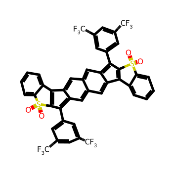 O=S1(=O)C2=C(c3ccccc31)c1cc3cc4c(cc3cc1=C2c1cc(C(F)(F)F)cc(C(F)(F)F)c1)C1=C(C=4c2cc(C(F)(F)F)cc(C(F)(F)F)c2)S(=O)(=O)c2ccccc21